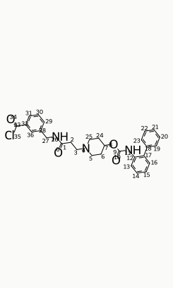 O=C(CCN1CCC(OC(=O)Nc2ccccc2-c2ccccc2)CC1)NCc1cccc(C(=O)Cl)c1